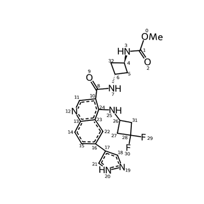 COC(=O)N[C@H]1C[C@H](NC(=O)c2cnc3ccc(-c4cn[nH]c4)cc3c2NC2CC(F)(F)C2)C1